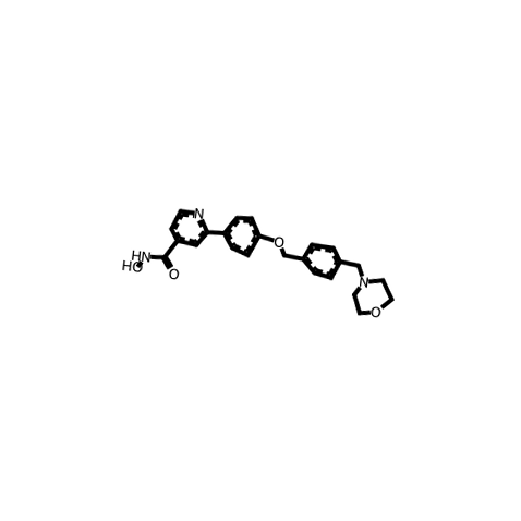 O=C(NO)c1ccnc(-c2ccc(OCc3ccc(CN4CCOCC4)cc3)cc2)c1